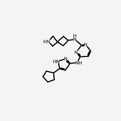 c1cc(Nc2cc(C3CCCC3)[nH]n2)nc(NC2CC3(CNC3)C2)n1